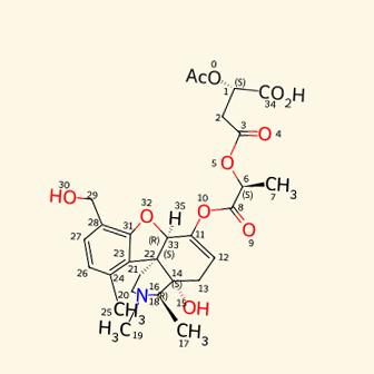 CC(=O)O[C@@H](CC(=O)O[C@@H](C)C(=O)OC1=CC[C@@]2(O)[C@@H](C)N(C)CC[C@@]23c2c(C)ccc(CO)c2O[C@@H]13)C(=O)O